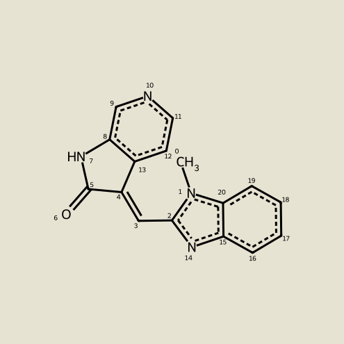 Cn1c(C=C2C(=O)Nc3cnccc32)nc2ccccc21